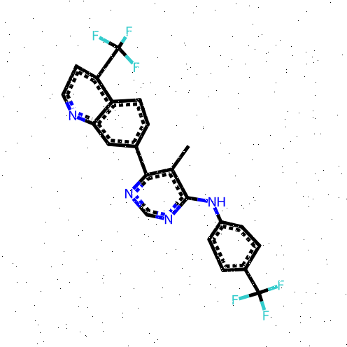 Cc1c(Nc2ccc(C(F)(F)F)cc2)ncnc1-c1ccc2c(C(F)(F)F)ccnc2c1